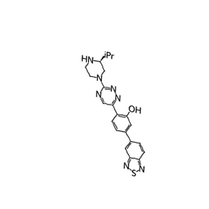 CC(C)[C@H]1CN(c2ncc(-c3ccc(-c4ccc5nsnc5c4)cc3O)nn2)CCN1